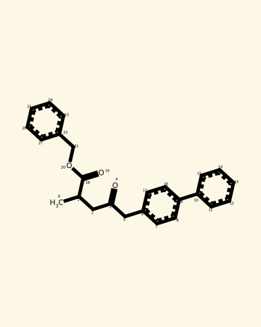 CC(CC(=O)Cc1ccc(-c2ccccc2)cc1)C(=O)OCc1ccccc1